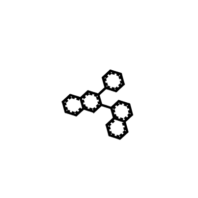 [c]1c(-c2cccc3ccccc23)c(-c2ccccc2)cc2ccccc12